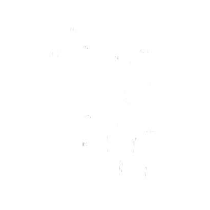 COC1=CCCC=C1c1c[nH]c2c1C=C(C1=CC=CC(C(=N)N3CCN(C(C)C)CC3)C1)CN2